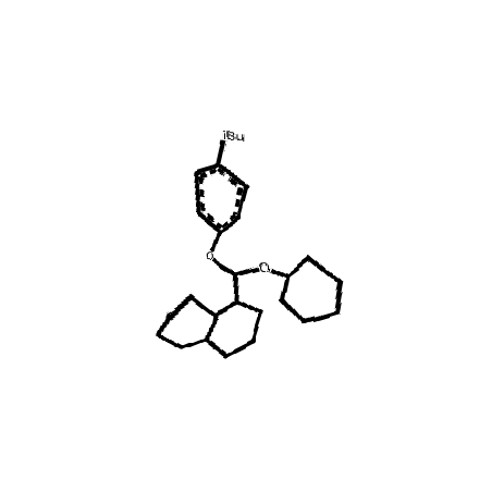 CCC(C)c1ccc(OC(OC2CCCCC2)C2CCCC3CCCCC32)cc1